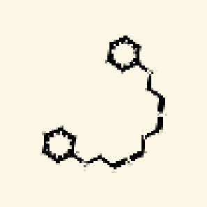 C(=CCOc1ccccc1)=COC=C=CCOc1ccccc1